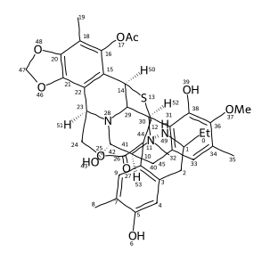 CCC1Cc2cc(O)c(C)cc2[C@@]2(CS[C@@H]3c4c(OC(C)=O)c(C)c5c(c4[C@H](COC2=O)N2C3[C@H]3c4c(cc(C)c(OC)c4O)C[C@@H]([C@@H]2O)N3C)OCO5)N1